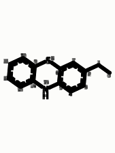 CCc1ccc2c(c1)Sc1ccccc1N2